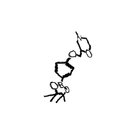 CN1CCOC(COc2ccc(B3OC(C)(C)C(C)(C)O3)cc2)C1